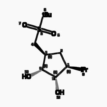 CC(C)[C@@H]1C[C@H](CS(=O)(=O)C(C)(C)C)[C@@H](O)[C@H]1O